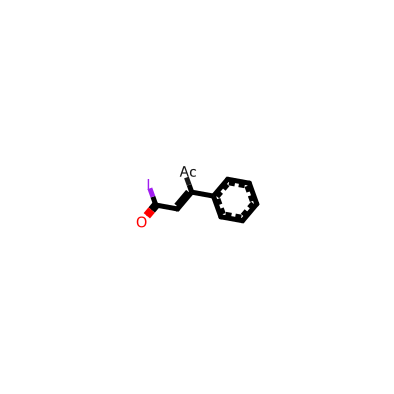 CC(=O)/C(=C\C(=O)I)c1ccccc1